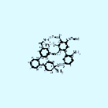 CCCCCc1cc(-c2ccccc2N)c(CCCCC)c(CCCCC)c1CCCCC.NCc1cccc(-c2ccccc2C2=CCC(N)(N)C=C2)c1